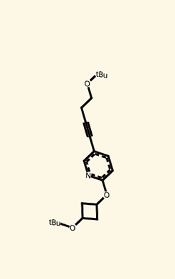 CC(C)(C)OCCC#Cc1ccc(OC2CC(OC(C)(C)C)C2)nc1